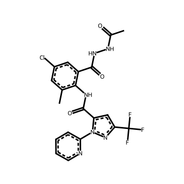 CC(=O)NNC(=O)c1cc(Cl)cc(C)c1NC(=O)c1cc(C(F)(F)F)nn1-c1ccccn1